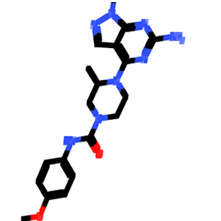 COc1ccc(NC(=O)N2CCN(c3nc(N)nc4c3cnn4C)C(C)C2)cc1